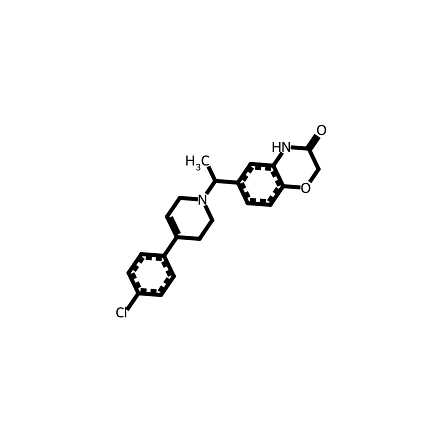 CC(c1ccc2c(c1)NC(=O)CO2)N1CC=C(c2ccc(Cl)cc2)CC1